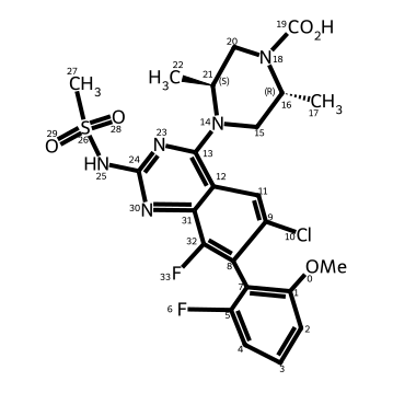 COc1cccc(F)c1-c1c(Cl)cc2c(N3C[C@@H](C)N(C(=O)O)C[C@@H]3C)nc(NS(C)(=O)=O)nc2c1F